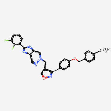 O=C(O)c1ccc(COc2ccc(-c3nocc3Cn3cc4nc(-c5cccc(F)c5F)nc-4cn3)cc2)cc1